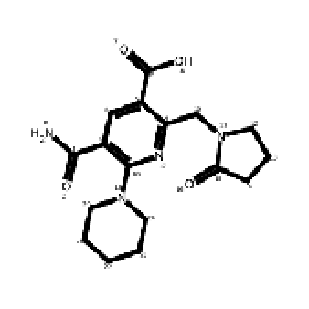 NC(=O)c1cc(C(=O)O)c(CN2CCCC2=O)nc1N1CCCCC1